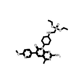 CCOP(=O)(CNC1CCC(n2c(=O)c(-c3ccc(OC)nc3)cc3c(C)nc(N)nc32)CC1)OCC